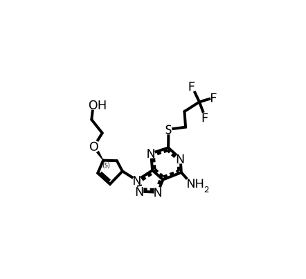 Nc1nc(SCCC(F)(F)F)nc2c1nnn2C1C=C[C@@H](OCCO)C1